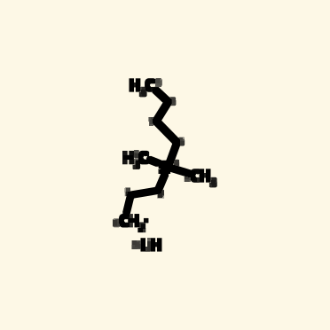 [CH2]CC[Si](C)(C)CCCC.[LiH]